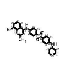 Cc1cc(Nc2ccc(S(=O)(=O)c3ccc(Nc4ccncc4)cc3)cc2)c2cccc(Br)c2n1